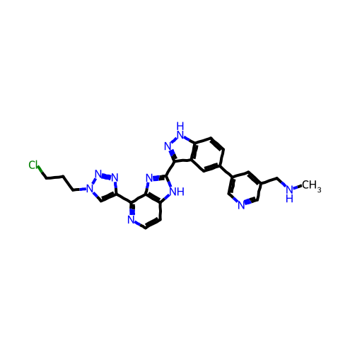 CNCc1cncc(-c2ccc3[nH]nc(-c4nc5c(-c6cn(CCCCl)nn6)nccc5[nH]4)c3c2)c1